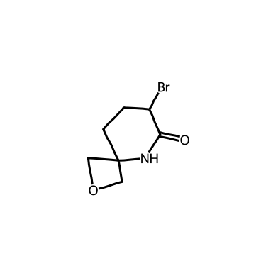 O=C1NC2(CCC1Br)COC2